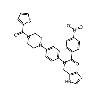 O=C(c1cccs1)N1CCN(c2ccc(N(Cc3cnc[nH]3)C(=O)c3ccc([N+](=O)[O-])cc3)cc2)CC1